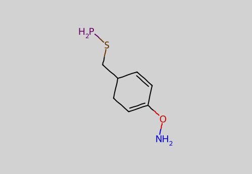 NOC1=CCC(CSP)C=C1